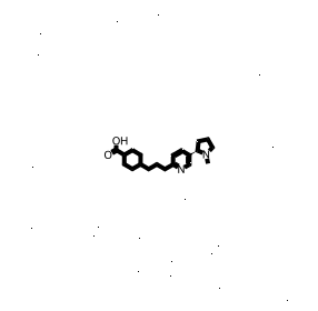 CN1CCC[C@H]1c1ccc(CCCC2CCC(C(=O)O)CC2)nc1